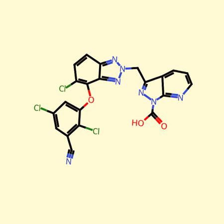 N#Cc1cc(Cl)cc(Oc2c(Cl)ccc3nn(Cc4nn(C(=O)O)c5ncccc45)nc23)c1Cl